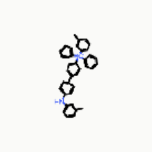 Cc1cccc(Nc2ccc(-c3ccc([N+](c4ccccc4)(c4ccccc4)c4cccc(C)c4)cc3)cc2)c1